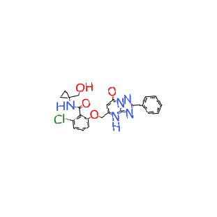 O=C(NC1(CO)CC1)c1c(Cl)cccc1OCc1cc(=O)n2nc(-c3ccccc3)nc2[nH]1